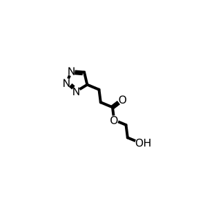 O=C(CCC1C=NN=N1)OCCO